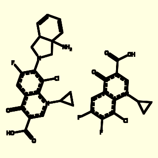 NC12C=CC=CC1CN(c1c(F)cc3c(=O)c(C(=O)O)cn(C4CC4)c3c1Cl)C2.O=C(O)c1cn(C2CC2)c2c(Cl)c(F)c(F)cc2c1=O